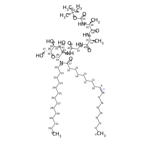 CCCCCCCC/C=C\CCCCCCCC(=O)N(CCCCCCCCCCCCCC)[C@@H]1O[C@H](CO)[C@@H](O)[C@H](O)[C@H]1NC(=O)CNC(=O)[C@H](C)NC(=O)[C@H](C)NC(=O)OC(C)(C)C